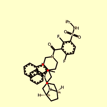 Cc1nc2ccccc2n1C1C[C@H]2CC[C@@H](C1)N2CCC1(c2ccccc2)CCN(C(=O)c2c(F)ccc(S(=O)(=O)NC(C)C)c2F)CC1